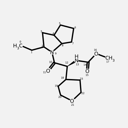 CCC1CC2CCCC2N1C(=O)[C@@H](NC(=O)OC)C1CCOCC1